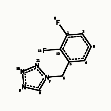 Fc1cccc(Cn2[c]nnn2)c1F